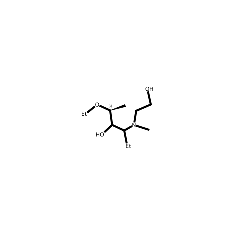 CCO[C@@H](C)C(O)C(CC)N(C)CCO